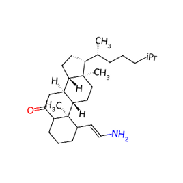 CC(C)CCC[C@@H](C)[C@H]1CC[C@H]2[C@@H]3CC(=O)C4CCCC(C=CN)[C@]4(C)[C@H]3CC[C@]12C